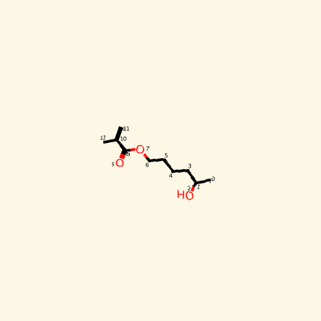 [CH2]C(O)CCCCOC(=O)C(=C)C